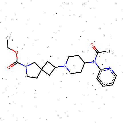 CCOC(=O)N1CCC2(CC(N3CCC(N(C(C)=O)c4ccccn4)CC3)C2)C1